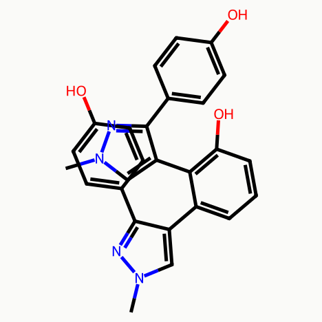 Cn1cc(-c2cccc(O)c2-c2cn(C)nc2-c2ccc(O)cc2)c(-c2ccc(O)cc2)n1